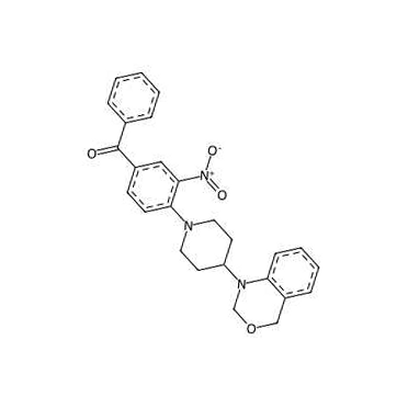 O=C(c1ccccc1)c1ccc(N2CCC(N3COCc4ccccc43)CC2)c([N+](=O)[O-])c1